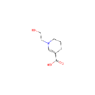 O=C(O)C1=CN(CCO)CCC1